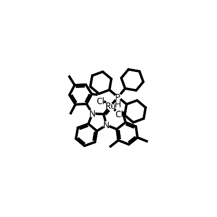 Cc1cc(C)c(-n2[c](=[Ru]([Cl])([Cl])[PH](C3CCCCC3)(C3CCCCC3)C3CCCCC3)n(-c3c(C)cc(C)cc3C)c3ccccc32)c(C)c1